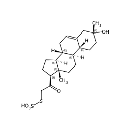 C[C@@]1(O)CC[C@H]2C(=CC[C@@H]3[C@@H]2CC[C@]2(C)[C@@H](C(=O)CSS(=O)(=O)O)CC[C@@H]32)C1